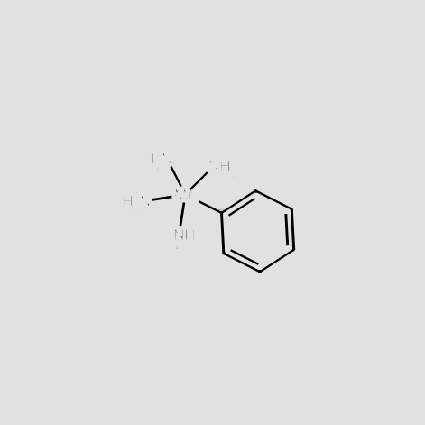 [NH2][Mn]([NH2])([NH2])([NH2])[c]1ccccc1